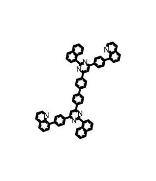 c1ccc2c(-c3nc(-c4ccc(-c5ccc(-c6cc(-c7ccc(-c8cccc9cccnc89)cc7)nc(-c7cccc8ccccc78)n6)cc5)cc4)cc(-c4ccc(-c5cccc6cccnc56)cc4)n3)cccc2c1